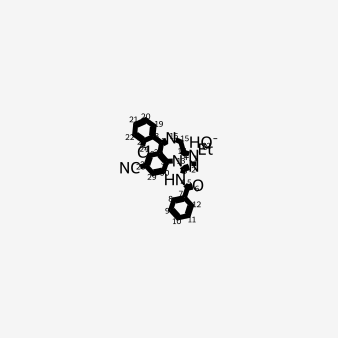 CCn1nc(NC(=O)c2ccccc2)[n+]2c1CN=C(c1ccccc1Cl)c1cc(C#N)ccc1-2.[OH-]